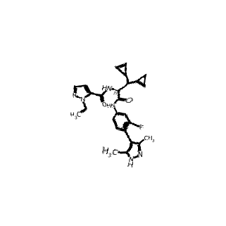 CCn1nccc1C(=O)N[C@H](C(=O)Nc1ccc(-c2c(C)n[nH]c2C)c(F)c1)C(C1CC1)C1CC1